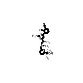 CC(C)(O)c1cccc(CN(N)/C=C(\N)c2cc(-c3cccc(C#N)c3Cl)nc(N)n2)n1